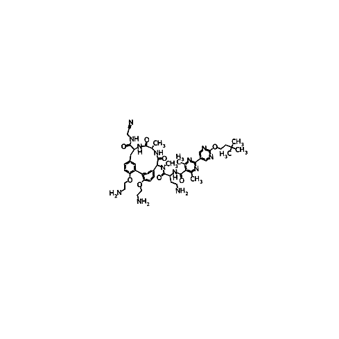 Cc1nc(-c2cnc(OCCC(C)(C)C)nc2)nc(C)c1C(=O)NC(CCN)C(=O)N(C)C1C(=O)NC(C)C(=O)NC(C(=O)NCC#N)Cc2ccc(OCCN)c(c2)-c2cc1ccc2OCCN